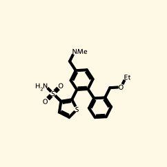 CCOCc1ccccc1-c1ccc(CNC)cc1-c1sccc1S(N)(=O)=O